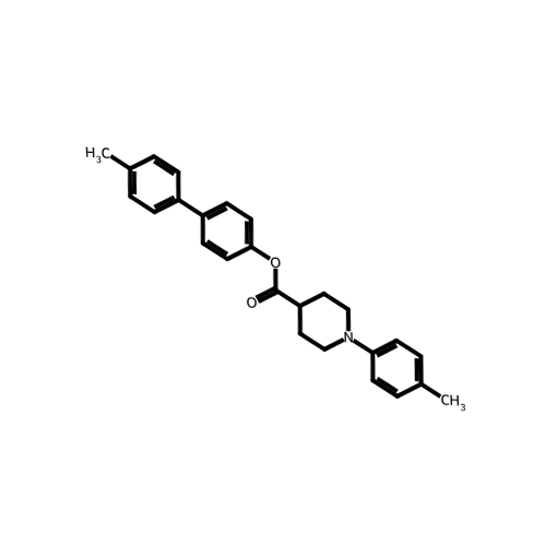 Cc1ccc(-c2ccc(OC(=O)C3CCN(c4ccc(C)cc4)CC3)cc2)cc1